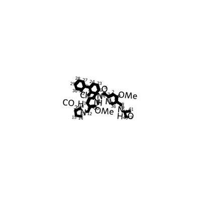 COc1cc(C(=O)NC2(c3ccc(CN4CCC[C@H]4C(=O)O)c(OC)n3)C=CC=C(c3ccccc3Cl)C2C)ncc1CNC1COC1